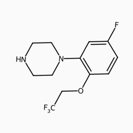 Fc1ccc(OCC(F)(F)F)c(N2CCNCC2)c1